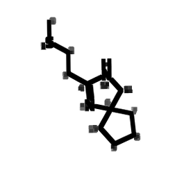 CSCCC1=NC2(CCCC2)CN1